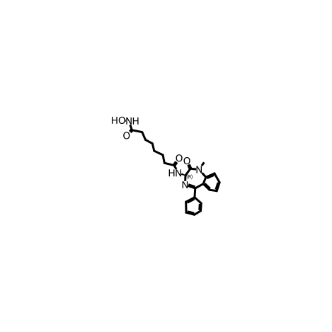 CN1C(=O)[C@H](NC(=O)CCCCCCC(=O)NO)N=C(c2ccccc2)c2ccccc21